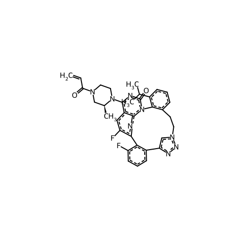 C=CC(=O)N1CCN(c2nc(=O)n3c4nc(c(F)cc24)-c2c(F)cccc2-c2cn(nn2)CCc2cccc(C(C)C)c2-3)[C@@H](C)C1